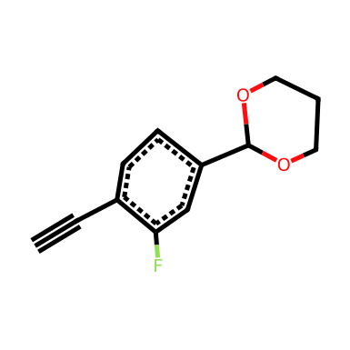 C#Cc1ccc(C2OCCCO2)cc1F